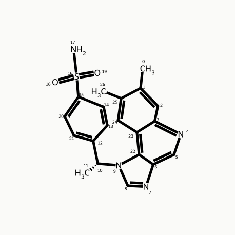 Cc1cc2ncc3ncn([C@H](C)c4ccc(S(N)(=O)=O)cc4)c3c2cc1C